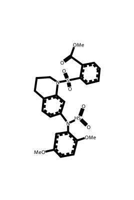 COC(=O)c1ccccc1S(=O)(=O)N1CCCc2ccc(N(c3cc(OC)ccc3OC)[SH](=O)=O)cc21